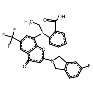 CCN(c1ccccc1C(=O)O)c1cc(C(F)(F)F)cc2c(=O)cc(N3Cc4ccc(F)cc4C3)oc12